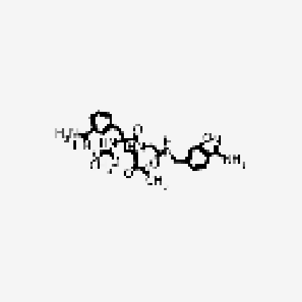 COC(=O)CCC(Cc1cccc(C(=N)N)c1)(NC(=O)OC)C(=O)NCC(=O)NCc1ccc2c(N)noc2c1